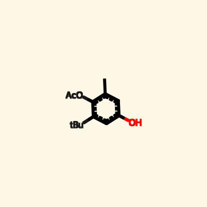 CC(=O)Oc1c(C)cc(O)cc1C(C)(C)C